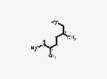 CCC(C)CCC(C)NC